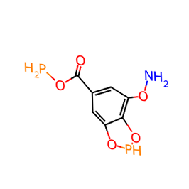 NOc1cc(C(=O)OP)cc2c1OPO2